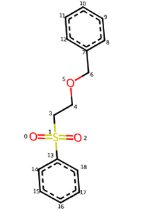 O=S(=O)(CCOCc1ccccc1)c1ccccc1